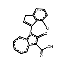 O=C(O)c1c2cccccc-2n(C2=CCc3cccc(Cl)c32)c1=O